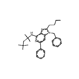 CCCCc1nc2c(NC(C)(C)CC(C)(C)C)nc(-c3ccccc3)cc2n1Cc1ccccc1